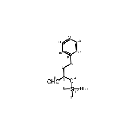 CC(C)(C)[Si](C)(C)OC(C=O)CCc1ccccc1